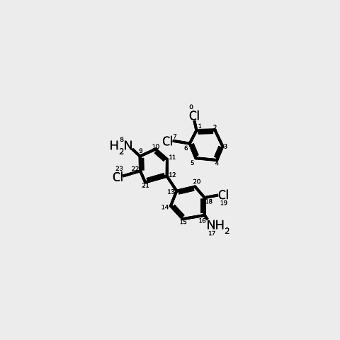 Clc1ccccc1Cl.Nc1ccc(-c2ccc(N)c(Cl)c2)cc1Cl